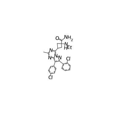 CCNC1(C(N)=O)CC(c2nc(C)nc3c(-c4ccc(Cl)cc4)c(-c4ccccc4Cl)nn23)C1